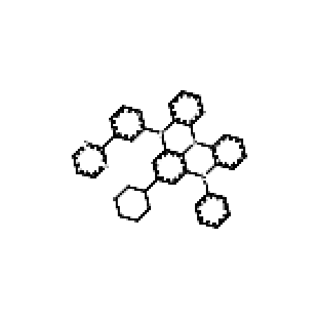 c1ccc(N2c3ccccc3B3c4ccccc4N(c4cccc(-c5ncccn5)c4)c4cc(C5CCCCC5)cc2c43)cc1